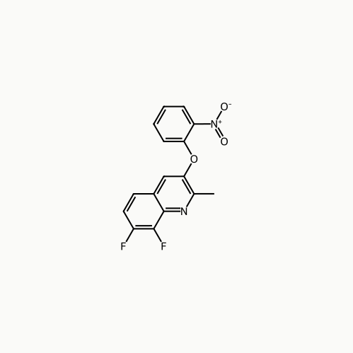 Cc1nc2c(F)c(F)ccc2cc1Oc1ccccc1[N+](=O)[O-]